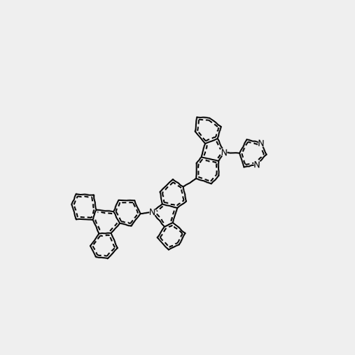 c1ccc2c(c1)c1ccccc1c1cc(-n3c4ccccc4c4cc(-c5ccc6c(c5)c5ccccc5n6-c5cncnc5)ccc43)ccc21